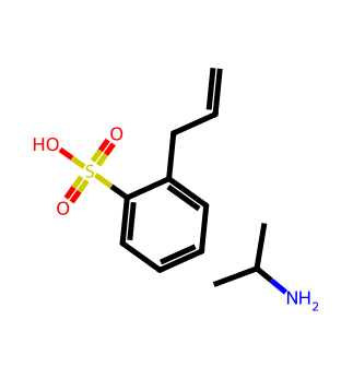 C=CCc1ccccc1S(=O)(=O)O.CC(C)N